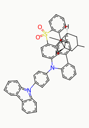 CC1C[C@H]2CC(C)C[C@H](C1)C21c2ccccc2S(=O)(=O)c2ccc(N(c3ccc(-n4c5ccccc5c5ccccc54)cc3)c3ccccc3-c3ccccc3)cc21